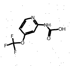 O=C(O)Nc1cc(OC(F)(F)F)ccn1